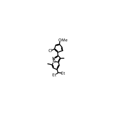 CCC(CC)c1cc(C)n2nc(-c3ccc(OC)cc3Cl)c(C)c2c1